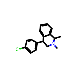 CC1c2ccccc2C(c2ccc(Cl)cc2)CN1C